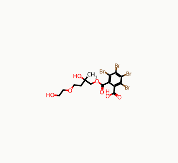 CC(O)(CCOCCO)COC(=O)c1c(Br)c(Br)c(Br)c(Br)c1C(=O)O